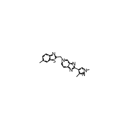 Cc1ccc2nc(Cn3ccc4nc(-c5cn(C)nc5C)nc-4c3)sc2c1